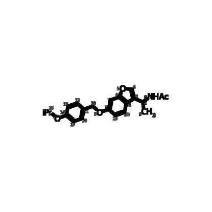 CC(=O)NC(C)c1coc2cc(OCc3ccc(OC(C)C)cc3)ccc12